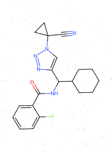 N#CC1(n2cc(C(NC(=O)c3ccccc3F)C3CCCCC3)nn2)CC1